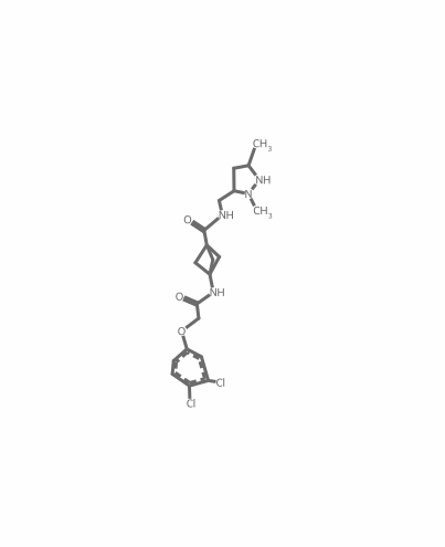 CC1CC(CNC(=O)C23CC(NC(=O)COc4ccc(Cl)c(Cl)c4)(C2)C3)N(C)N1